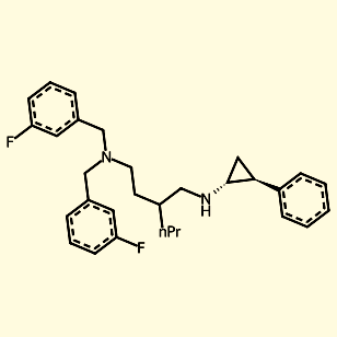 CCCC(CCN(Cc1cccc(F)c1)Cc1cccc(F)c1)CN[C@@H]1C[C@H]1c1ccccc1